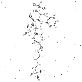 CS(=O)(=O)NC(=O)C1=C(c2ccccc2)C[C@](c2ccc(OCCCCCC(F)(F)F)cc2)(C(F)(F)F)NC1=O